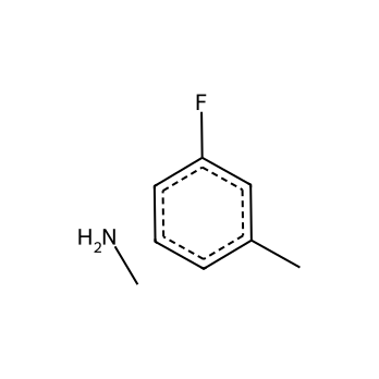 CN.Cc1cccc(F)c1